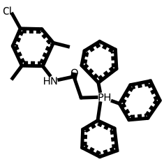 Cc1cc(Cl)cc(C)c1NC(=O)C[PH](c1ccccc1)(c1ccccc1)c1ccccc1